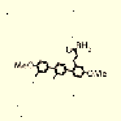 BC(=O)CCc1cc(OC)ccc1-c1ccc(-c2ccc(OC)c(C)c2)c(C)c1